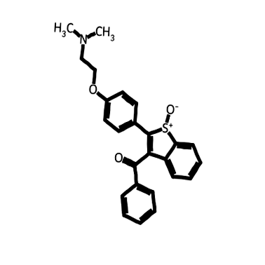 CN(C)CCOc1ccc(-c2c(C(=O)c3ccccc3)c3ccccc3[s+]2[O-])cc1